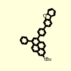 CC(C)(C)c1cc2ccc3c(-c4ccccc4)cc(-c4ccc(-c5ccc6c(c5)OC5C=CC=CC65)cc4)c4ccc(c1)c2c34